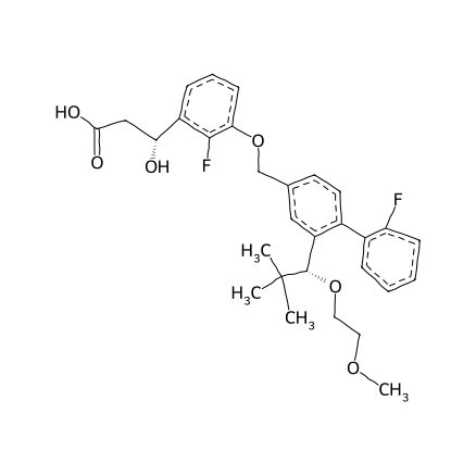 COCCO[C@@H](c1cc(COc2cccc([C@H](O)CC(=O)O)c2F)ccc1-c1ccccc1F)C(C)(C)C